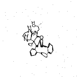 C[C@@H](O)CNC(=O)C(Cl)(C1=Nc2ccccc2Oc2ccccc21)C1CNCCN1